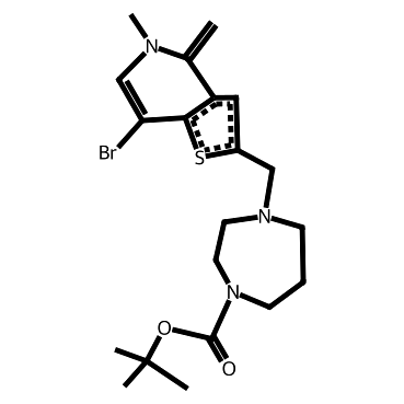 C=C1c2cc(CN3CCCN(C(=O)OC(C)(C)C)CC3)sc2C(Br)=CN1C